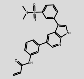 C=CC(=O)Nc1cccc(-c2cnc3[nH]cc(-c4cccc(S(=O)(=O)N(C)C)c4)c3c2)c1